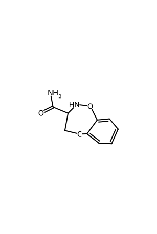 NC(=O)C1CCc2ccccc2ON1